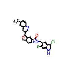 Cc1ccc2ncc(C3OCc4ccc(C(=O)NCc5cc6c(Cl)c[nH]c6cc5F)cc43)cc2c1